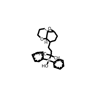 CC(C)(CCC1CCC2O[C@@]23CCCO[C@H]13)[Si](O)(c1ccccc1)c1ccccc1